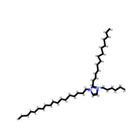 CCCCCCCCCCCCCCCCCCn1cc[n+](CCCCCC)c1CCCCCCCCCCCCCC